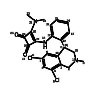 CN1Cc2c(Cl)cc(Cl)cc2[C@H](c2ccccc2Nc2c(N(C)C)c(=O)c2=O)C1